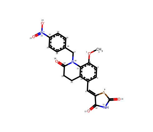 COc1ccc(C=C2SC(=O)NC2=O)c2c1N(Cc1ccc([N+](=O)[O-])cc1)C(=O)CC2